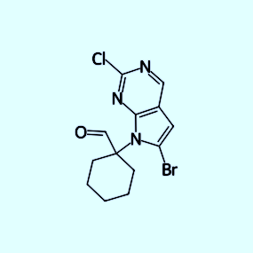 O=CC1(n2c(Br)cc3cnc(Cl)nc32)CCCCC1